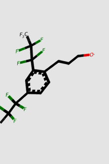 [O]CCCc1ccc(C(F)(F)C(F)(F)C(F)(F)F)cc1C(F)(F)C(F)(F)C(F)(F)F